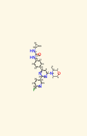 CC1COCCN1c1cc(-c2ccc(NC(=O)NC3CC3)cc2)nc(-c2ccc(F)nc2)n1